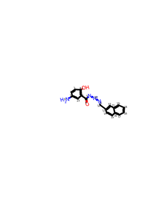 Nc1ccc(O)c(C(=O)N=[N+]=NCc2ccc3ccccc3c2)c1